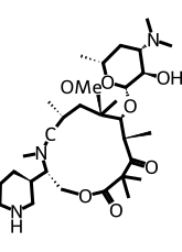 CO[C@]1(C)C[C@@H](C)CN(C)[C@@H]([C@@H]2CCCNC2)COC(=O)C(C)(C)C(=O)[C@H](C)[C@H]1O[C@@H]1O[C@H](C)C[C@H](N(C)C)[C@H]1O